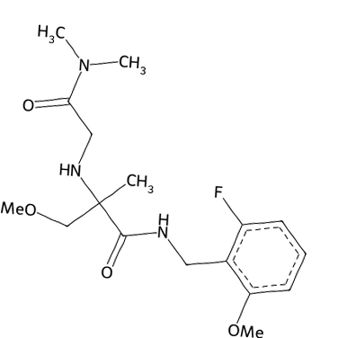 COCC(C)(NCC(=O)N(C)C)C(=O)NCc1c(F)cccc1OC